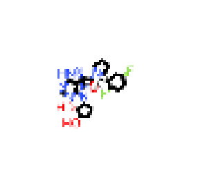 CC1([C@H]2CCCN2C(=O)c2n[nH]c3ncnc(N[C@@H]4CC[C@@H](O)[C@H]4O)c23)CC(F)=CC=C1F